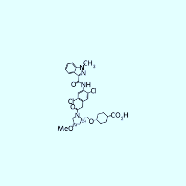 CO[C@H]1C[C@@H](CO[C@H]2CC[C@H](C(=O)O)CC2)N(C(=O)Cc2cc(Cl)c(NC(=O)c3nn(C)c4ccccc34)cc2Cl)C1